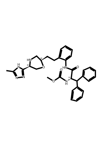 COC(=O)N[C@H](C(=O)Nc1ccccc1CC[C@@H]1CN[C@H](c2nnc(C)[nH]2)CO1)C(c1ccccc1)c1ccccc1